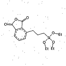 CCO[Si](CCCc1cccc2c1C(=O)OC2=O)(OCC)OCC